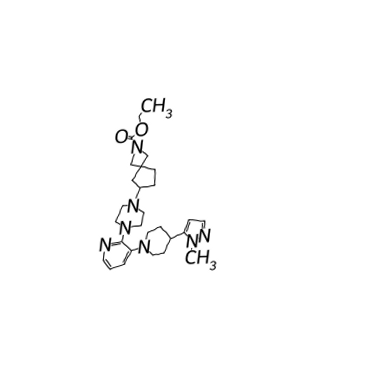 CCOC(=O)N1CC2(CCC(N3CCN(c4ncccc4N4CCC(c5ccnn5C)CC4)CC3)C2)C1